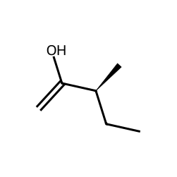 C=C(O)[C@@H](C)CC